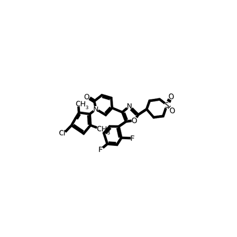 Cc1cc(Cl)cc(C)c1-n1cc(-c2nc(C3CCS(=O)(=O)CC3)oc2-c2ccc(F)cc2F)ccc1=O